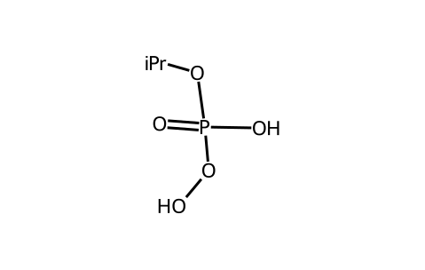 CC(C)OP(=O)(O)OO